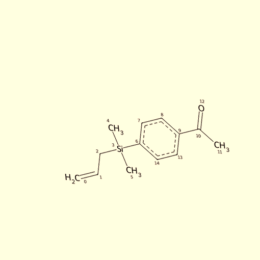 C=CC[Si](C)(C)c1ccc(C(C)=O)cc1